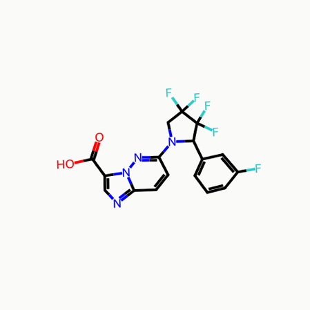 O=C(O)c1cnc2ccc(N3CC(F)(F)C(F)(F)C3c3cccc(F)c3)nn12